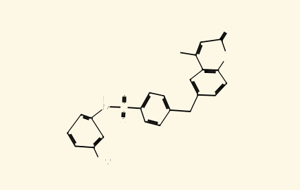 CSc1cccc(NS(=O)(=O)c2ccc(Cc3ccc4oc(=O)cc(C(F)(F)F)c4c3)cc2)c1